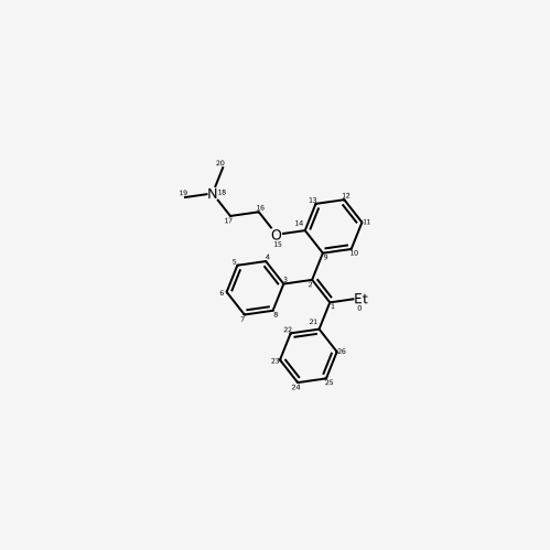 CCC(=C(c1ccccc1)c1ccccc1OCCN(C)C)c1ccccc1